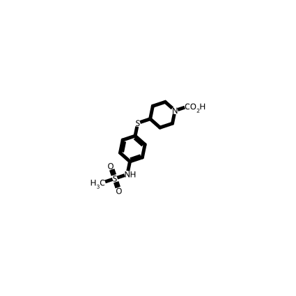 CS(=O)(=O)Nc1ccc(SC2CCN(C(=O)O)CC2)cc1